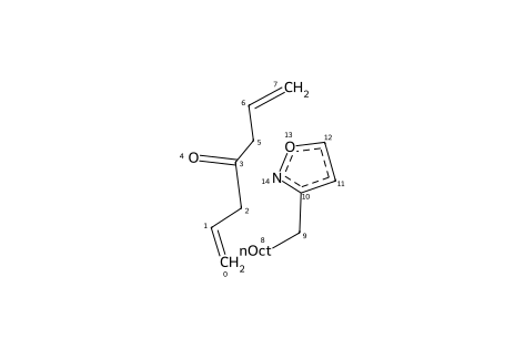 C=CCC(=O)CC=C.CCCCCCCCCc1ccon1